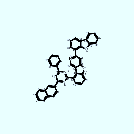 c1ccc(-c2nc(-c3ccc4ccccc4c3)nc(-c3cccc4oc5cc(-c6cccc7c6oc6ccccc67)ncc5c34)n2)cc1